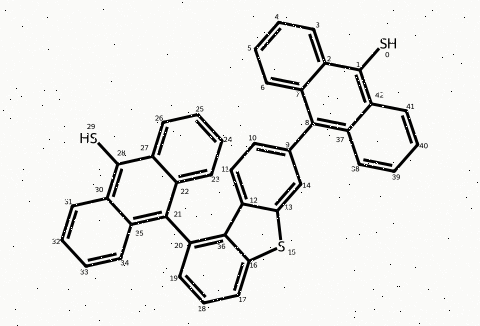 Sc1c2ccccc2c(-c2ccc3c(c2)sc2cccc(-c4c5ccccc5c(S)c5ccccc45)c23)c2ccccc12